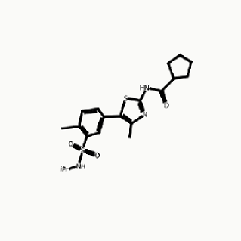 Cc1ccc(-c2sc(NC(=O)C3CCCC3)nc2C)cc1S(=O)(=O)NC(C)C